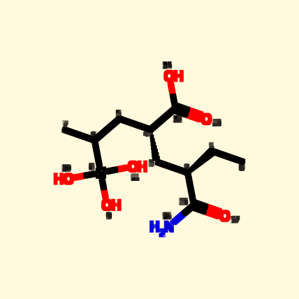 CC[C@H](C[C@H](CC(C)[Si](O)(O)O)C(=O)O)C(N)=O